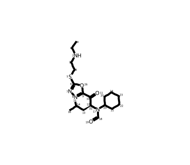 CCNCCSc1nnc(C(=O)[C@H](CC(C)C)N(C=O)C2CCCCC2)o1